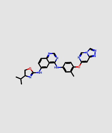 Cc1cc(Nc2ncnc3ccc(NC4=NC(C(C)C)CO4)cc23)ccc1Oc1cc2nncn2cn1